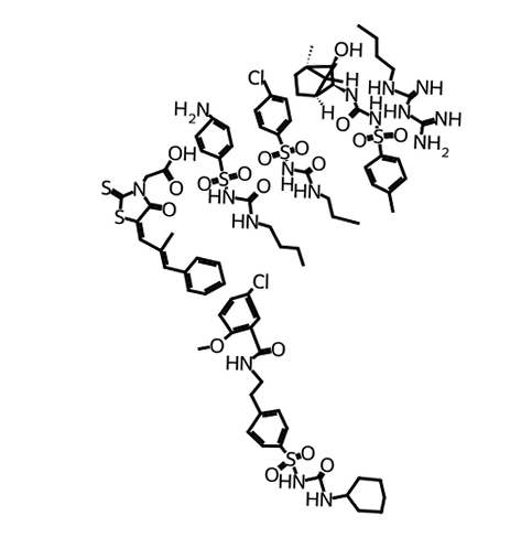 CC(=C\c1ccccc1)/C=C1/SC(=S)N(CC(=O)O)C1=O.CCCCNC(=N)NC(=N)N.CCCCNC(=O)NS(=O)(=O)c1ccc(N)cc1.CCCNC(=O)NS(=O)(=O)c1ccc(Cl)cc1.COc1ccc(Cl)cc1C(=O)NCCc1ccc(S(=O)(=O)NC(=O)NC2CCCCC2)cc1.Cc1ccc(S(=O)(=O)NC(=O)N[C@H]2[C@H]3CC[C@@](C)([C@H]2O)C3(C)C)cc1